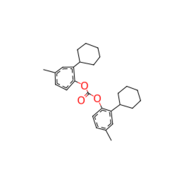 Cc1ccc(OC(=O)Oc2ccc(C)cc2C2CCCCC2)c(C2CCCCC2)c1